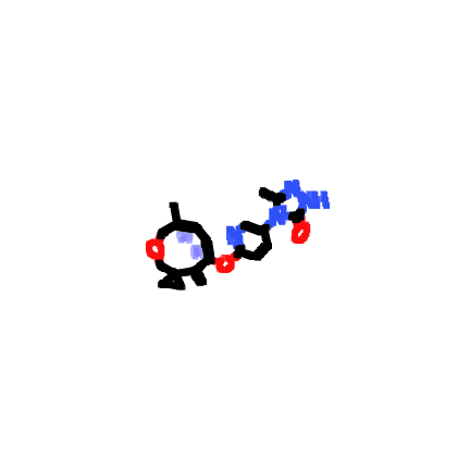 C=C1/C(Oc2ccc(-n3c(C)n[nH]c3=O)cn2)=C\C=C(\C)COCC12CC2